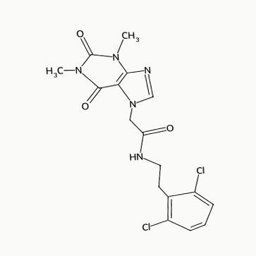 Cn1c(=O)c2c(ncn2CC(=O)NCCc2c(Cl)cccc2Cl)n(C)c1=O